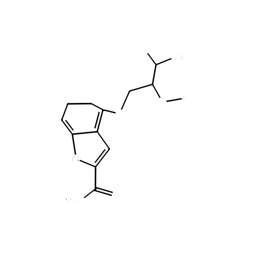 CCCCCCCC(C)C(COC1=c2cc(C(=O)OC)[nH]c2=CCC1)OCC